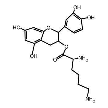 NCCCC[C@H](N)C(=O)OC1Cc2c(O)cc(O)cc2OC1c1ccc(O)c(O)c1